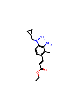 CCOC(=O)/C=C/c1ccc(N(N)CC2CC2)c(N)c1C